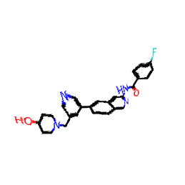 O=C(Nc1cc2cc(-c3cncc(CN4CCC(O)CC4)c3)ccc2cn1)c1ccc(F)cc1